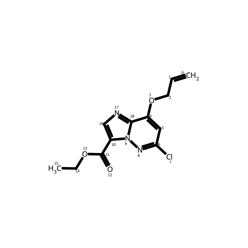 C=CCOc1cc(Cl)nn2c(C(=O)OCC)cnc12